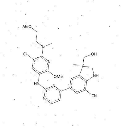 COCCN(C)c1nc(OC)c(Nc2nccc(-c3cc(C#N)c4c(c3)[C@@](C)(CO)CN4)n2)cc1Cl